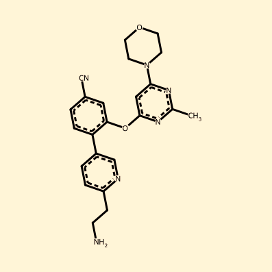 Cc1nc(Oc2cc(C#N)ccc2-c2ccc(CCN)nc2)cc(N2CCOCC2)n1